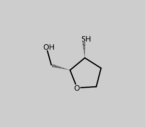 OC[C@H]1OCC[C@H]1S